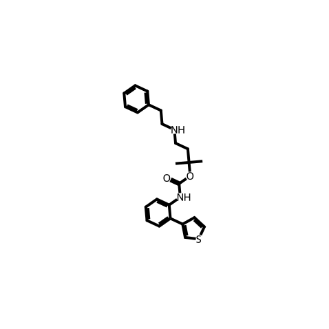 CC(C)(CCNCCc1ccccc1)OC(=O)Nc1ccccc1-c1ccsc1